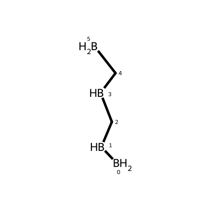 BBCBCB